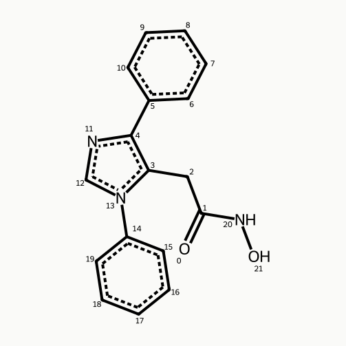 O=C(Cc1c(-c2ccccc2)ncn1-c1ccccc1)NO